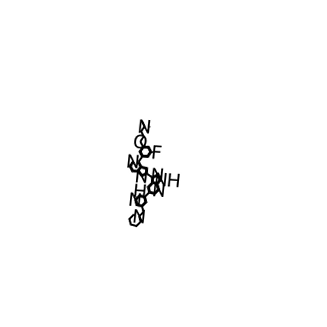 CN(C)CCOc1cc(F)cc(-c2nccc3[nH]c(-c4n[nH]c5ncc(-c6cncc(CN7CCCCC7)c6)cc45)cc23)c1